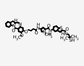 COc1cc2c(cc1OCCCC(=O)Nc1cc(C(=O)Nc3ccc4sc(C(=O)NCC(C)(C)S)cc4c3)n(C)c1)N=C[C@@H]1Cc3ccccc3N1C2=O